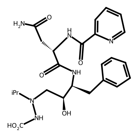 CC(C)N(C[C@H](O)[C@H](Cc1ccccc1)NC(=O)[C@H](CC(N)=O)NC(=O)c1ccccn1)NC(=O)O